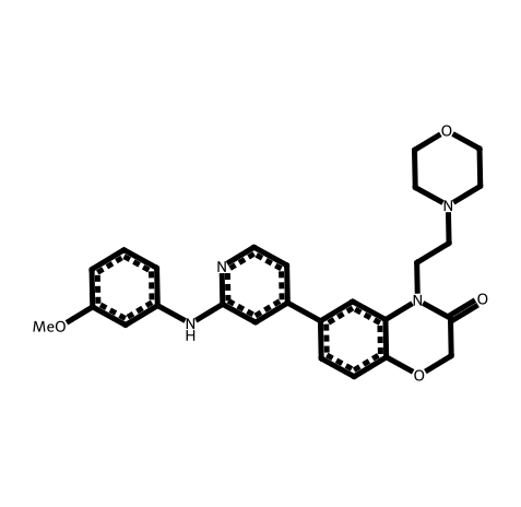 COc1cccc(Nc2cc(-c3ccc4c(c3)N(CCN3CCOCC3)C(=O)CO4)ccn2)c1